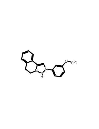 CCCOc1cccc(N2C=C3c4ccccc4CCN3N2)c1